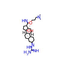 CN(C)CCCOC(=N)C1CC[C@@]2(O)[C@@H]3CCC4CC(=NNC(=N)N)CC[C@]4(C)[C@@H]3CC[C@]12C